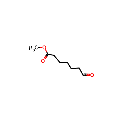 COC(=O)CCCCCC=O